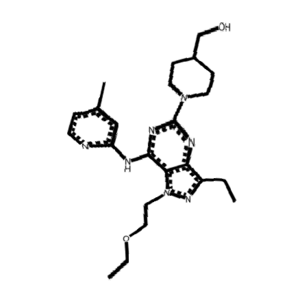 CCOCCn1nc(CC)c2nc(N3CCC(CO)CC3)nc(Nc3cc(C)ccn3)c21